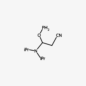 CC(C)N(C(C)C)C(CC#N)OP